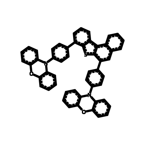 c1ccc2c(c1)Oc1ccccc1N2c1ccc(-c2cccc3c2sc2c(-c4ccc(N5c6ccccc6Oc6ccccc65)cc4)cc4ccccc4c23)cc1